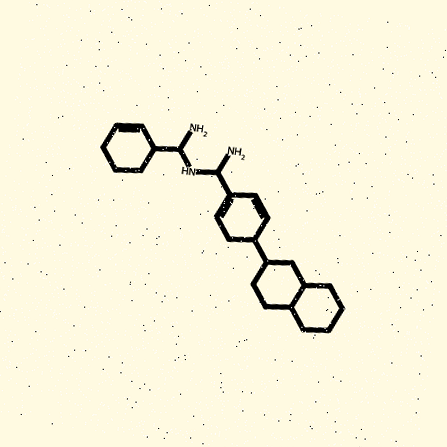 NC(NC(N)C1C=CCCC1)C1=CCC(C2CCC3CCCCC3C2)C=C1